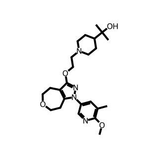 COc1ncc(-n2nc(OCCN3CCC(C(C)(C)O)CC3)c3c2CCOCC3)cc1C